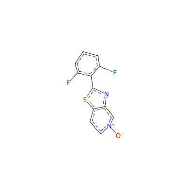 [O-][n+]1ccc2sc(-c3c(F)cccc3F)nc2c1